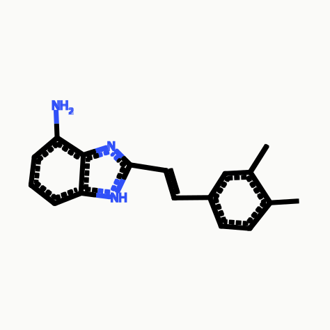 Cc1ccc(/C=C/c2nc3c(N)cccc3[nH]2)cc1C